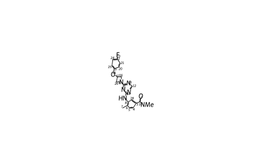 CNC(=O)c1ccc(C)c(Nc2ncnc(N3CC(Oc4ccc(F)cc4)C3)n2)c1